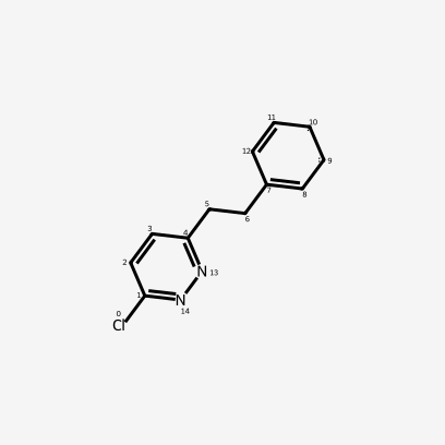 Clc1ccc(CCC2=C[C][C]C=C2)nn1